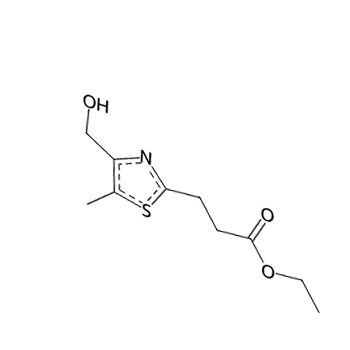 CCOC(=O)CCc1nc(CO)c(C)s1